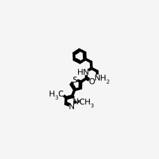 Cc1cnn(C)c1-c1csc(C(=O)NC(CN)Cc2ccccc2)c1